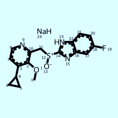 COc1c(C2CC2)ccnc1C[S+]([O-])c1nc2cc(F)ccc2[nH]1.[NaH]